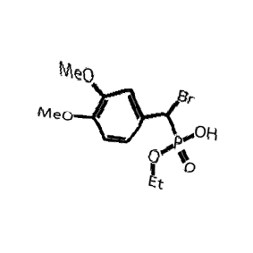 CCOP(=O)(O)C(Br)c1ccc(OC)c(OC)c1